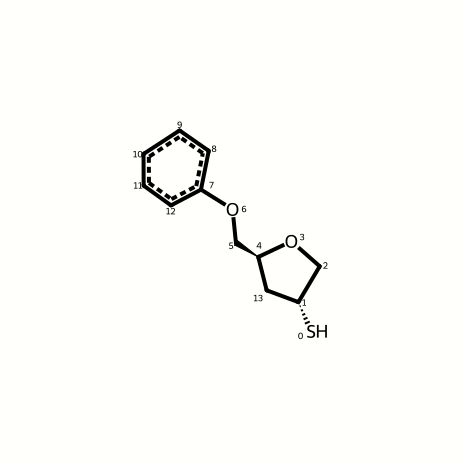 S[C@H]1CO[C@H](COc2ccccc2)C1